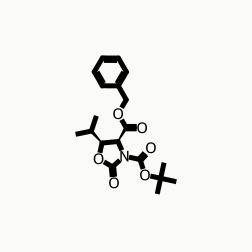 CC(C)[C@@H]1OC(=O)N(C(=O)OC(C)(C)C)[C@@H]1C(=O)OCc1ccccc1